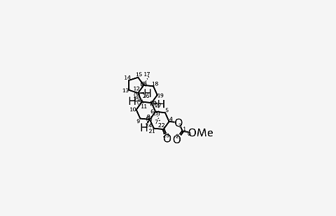 COC(=O)OC1C[C@@]2(C)[C@@H](CC[C@H]3[C@@H]4CCC[C@@]4(C)CC[C@@H]32)CC1=O